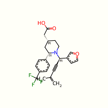 C=C(C)C#C[C@H](c1ccoc1)N1CC[C@@H](CC(=O)O)C[C@H]1c1ccc(C(F)(F)F)cc1